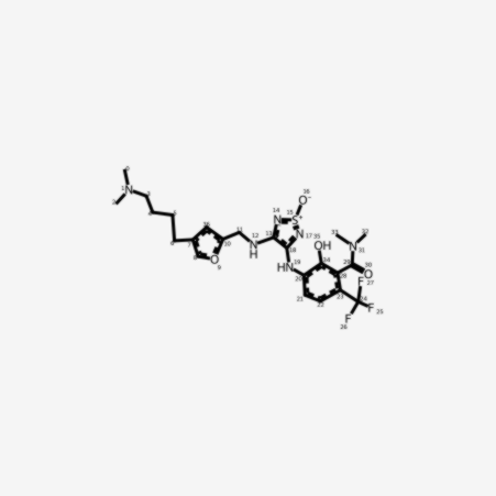 CN(C)CCCCc1coc(CNc2n[s+]([O-])nc2Nc2ccc(C(F)(F)F)c(C(=O)N(C)C)c2O)c1